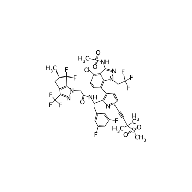 C[C@@H]1Cc2c(C(F)(F)F)nn(CC(=O)N[C@@H](Cc3cc(F)cc(F)c3)c3nc(C#CC(C)(C)S(C)(=O)=O)ccc3-c3ccc(Cl)c4c(NS(C)(=O)=O)nn(CC(F)(F)F)c34)c2C1(F)F